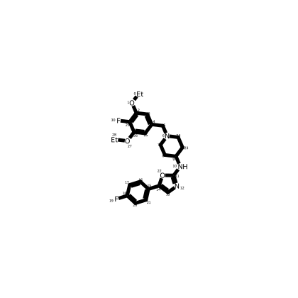 CCOc1cc(CN2CCC(Nc3ncc(-c4ccc(F)cc4)o3)CC2)cc(OCC)c1F